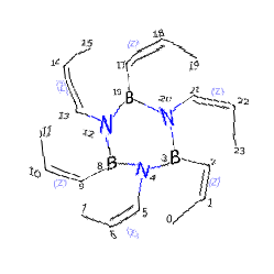 C/C=C\B1N(/C=C\C)B(/C=C\C)N(/C=C\C)B(/C=C\C)N1/C=C\C